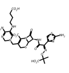 CC(C)(O/N=C(\C(=O)N[C@@H]1C(=O)N2C(C(=O)O)=C(CN3C=C(NCCCC(=O)O)C(N)=NC3)CSC12)c1csc(N)n1)C(=O)O